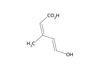 CC(=C/C(=O)O)/C=C/O